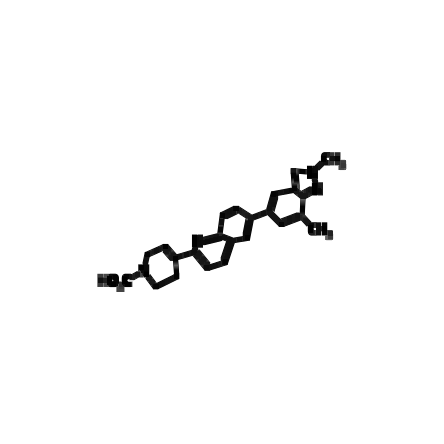 Cc1cc(-c2ccc3nc(C4=CCN(C(=O)O)CC4)ccc3c2)cc2cn(C)nc12